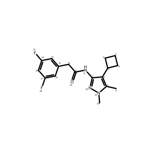 Cc1c(C2CCC2)c(NC(=O)Cc2cc(F)cc(F)c2)nn1C